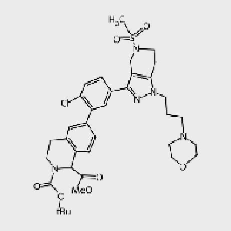 COC(=O)C1c2ccc(-c3cc(-c4nn(CCCN5CCOCC5)c5c4CN(S(C)(=O)=O)CC5)ccc3Cl)cc2CCN1C(=O)OC(C)(C)C